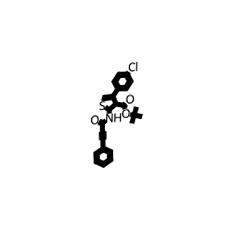 CC(C)(C)OC(=O)C1C(c2ccc(Cl)cc2)=CSC1NC(=O)C#Cc1ccccc1